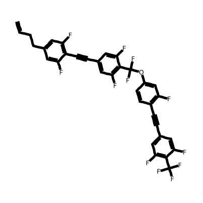 C=CCCc1cc(F)c(C#Cc2cc(F)c(C(F)(F)Oc3ccc(C#Cc4cc(F)c(C(F)(F)F)c(F)c4)c(F)c3)c(F)c2)c(F)c1